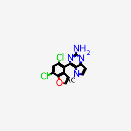 CC(=O)n1ccc2nc(N)nc(-c3c(Cl)cc(Cl)c4c3CCO4)c21